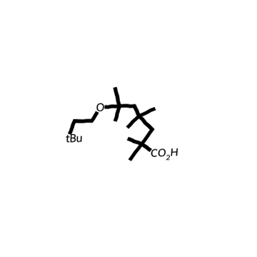 CC(C)(C)CCOC(C)(C)CC(C)(C)CC(C)(C)C(=O)O